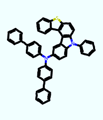 c1ccc(-c2ccc(N(c3ccc(-c4ccccc4)cc3)c3ccc4c(c3)c3c5c(ccc3n4-c3ccccc3)sc3ccccc35)cc2)cc1